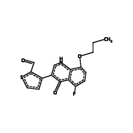 CCCOc1ccc(F)c2c(=O)c(-c3ccsc3C=O)c[nH]c12